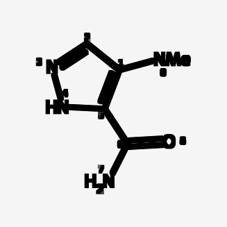 CNc1cn[nH]c1C(N)=O